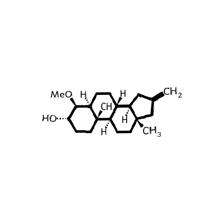 C=C1C[C@@H]2[C@H]3CC[C@@H]4[C@H](OC)[C@@H](O)CC[C@@]4(C)[C@@H]3CC[C@@]2(C)C1